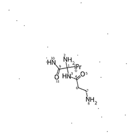 CC(C)C(N)(NC(=O)CCN)C([NH])=O